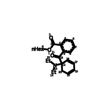 CCCCCCOC(=O)c1ccccc1C(=O)C1(N(CC)CC)C=CC=CC1